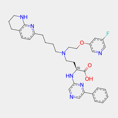 O=C(O)[C@H](CCN(CCCCc1ccc2c(n1)NCCC2)CCOc1cncc(F)c1)Nc1cncc(-c2ccccc2)n1